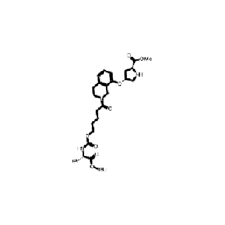 COC(=O)[C@@H]1C[C@@H](Oc2cccc3c2CN(C(=O)CCCCOC(=O)N[C@H](C(=O)OC(C)(C)C)C(C)C)CC3)CN1